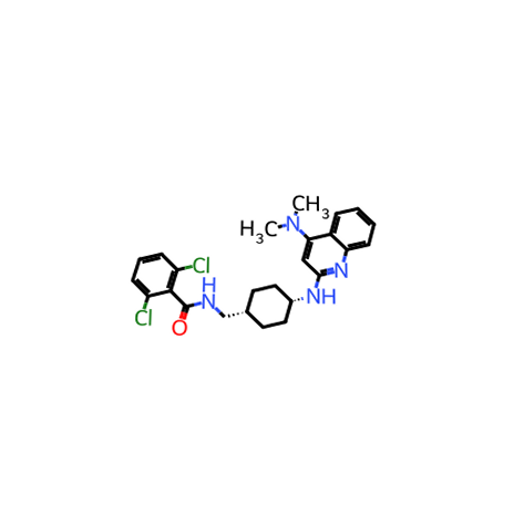 CN(C)c1cc(N[C@H]2CC[C@@H](CNC(=O)c3c(Cl)cccc3Cl)CC2)nc2ccccc12